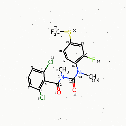 CN(C(=O)c1c(Cl)cccc1Cl)C(=O)N(C)c1ccc(SC(F)(F)F)cc1F